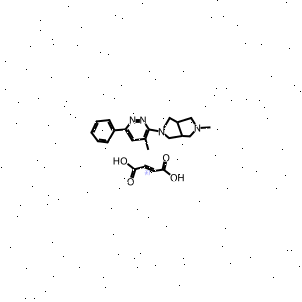 Cc1cc(-c2ccccc2)nnc1N1CC2CN(C)CC2C1.O=C(O)/C=C/C(=O)O